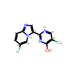 Oc1nc(-c2cnc3ccc(F)cn23)ncc1Cl